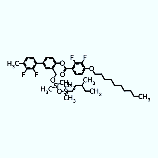 CCCCCCCCCCOc1ccc(C(=O)Oc2ccc(-c3ccc(C)c(F)c3F)cc2CO[Si](C)(C)O[Si](C)(C)CCC(C)CC)c(F)c1F